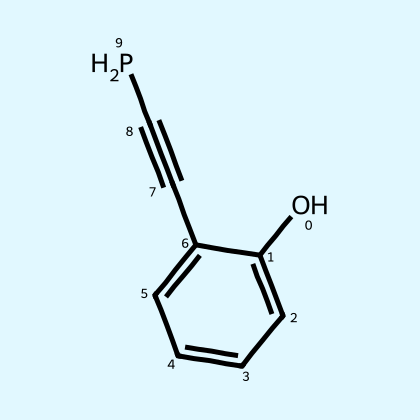 Oc1ccccc1C#CP